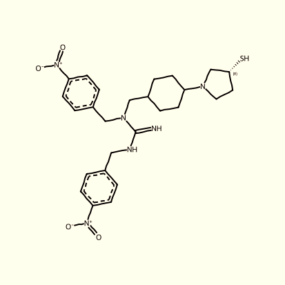 N=C(NCc1ccc([N+](=O)[O-])cc1)N(Cc1ccc([N+](=O)[O-])cc1)CC1CCC(N2CC[C@@H](S)C2)CC1